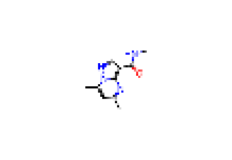 CNC(=O)c1cnn2c(C)cc(C)nc12